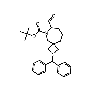 CC(C)(C)OC(=O)N1CC2(CCCC1C=O)CN(C(c1ccccc1)c1ccccc1)C2